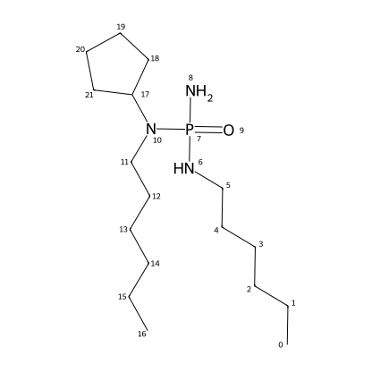 CCCCCCNP(N)(=O)N(CCCCCC)C1CCCC1